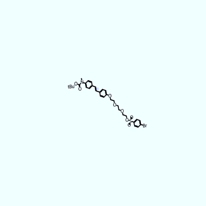 CN(C(=O)OC(C)(C)C)c1ccc(/C=C/c2ccc(OCCOCCOCCOS(=O)(=O)c3ccc(Br)cc3)cc2)cc1